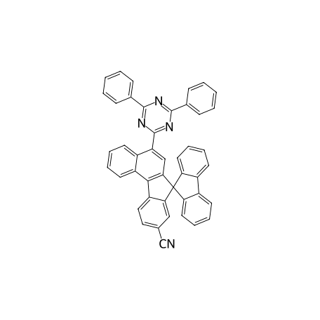 N#Cc1ccc2c(c1)C1(c3ccccc3-c3ccccc31)c1cc(-c3nc(-c4ccccc4)nc(-c4ccccc4)n3)c3ccccc3c1-2